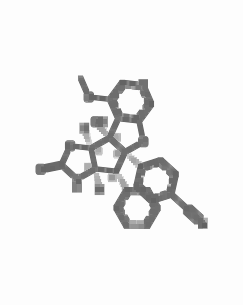 COc1cncc2c1[C@]1(O)[C@@H]3OC(=O)N[C@@H]3[C@@H](c3ccccc3)[C@]1(c1ccc(C#N)cc1)O2